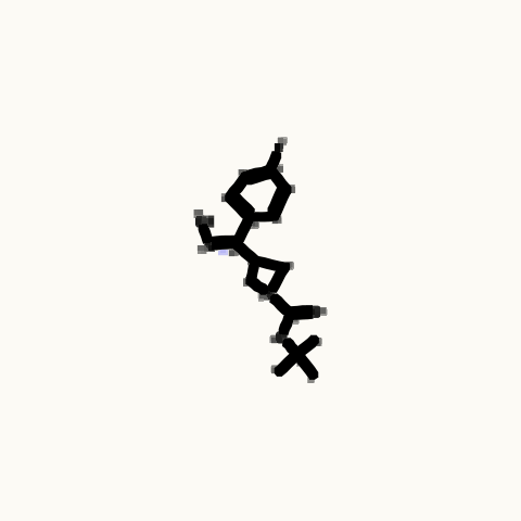 CC(C)(C)OC(=O)N1CC(/C(=N/O)c2ccc(F)cc2)C1